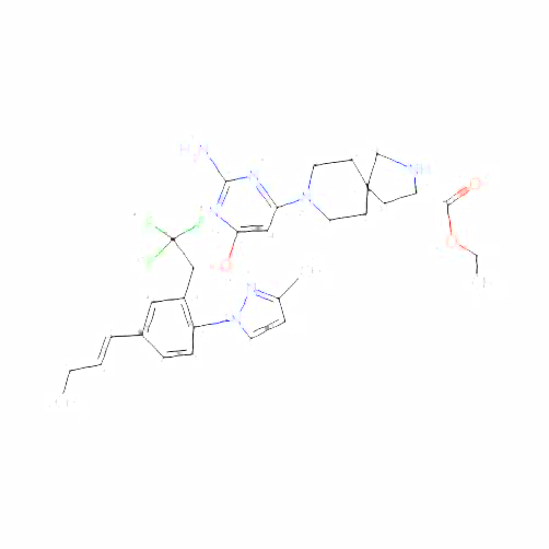 CC/C=C/c1ccc(-n2ccc(C)n2)c([C@@H](Oc2cc(N3CCC4(CC3)CN[C@H](C(=O)OCC)C4)nc(N)n2)C(F)(F)F)c1